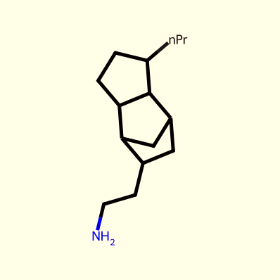 CCCC1CCC2C3CC(CC3CCN)C12